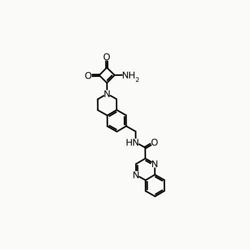 Nc1c(N2CCc3ccc(CNC(=O)c4cnc5ccccc5n4)cc3C2)c(=O)c1=O